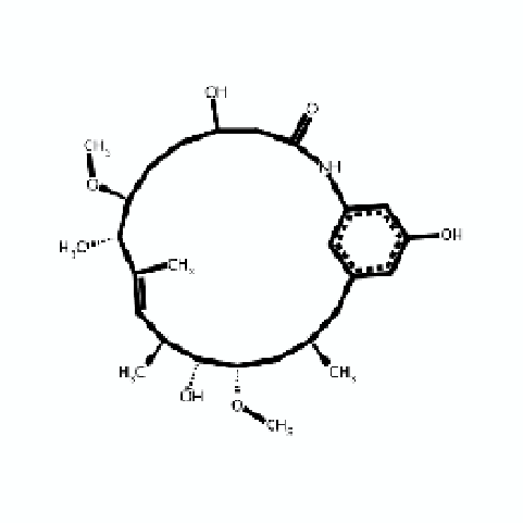 CO[C@H]1C[C@H](C)Cc2cc(O)cc(c2)NC(=O)CC(O)CC[C@H](OC)[C@@H](C)/C(C)=C/[C@H](C)[C@H]1O